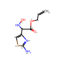 C=CCOC(=O)C(NO)c1csc(N)n1